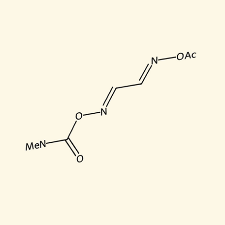 CNC(=O)ON=CC=NOC(C)=O